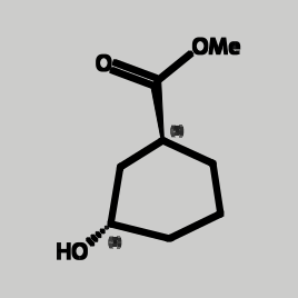 COC(=O)[C@H]1CCC[C@H](O)C1